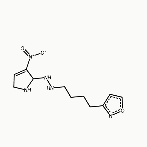 O=[N+]([O-])C1=CCNC1NNCCCCc1ccon1